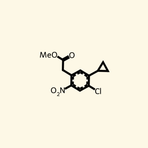 COC(=O)Cc1cc(C2CC2)c(Cl)cc1[N+](=O)[O-]